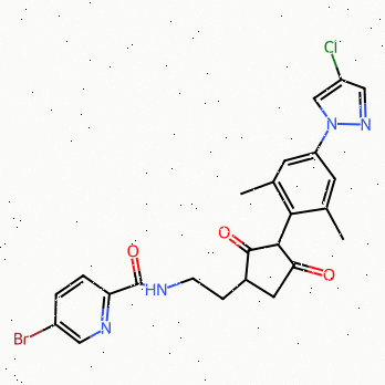 Cc1cc(-n2cc(Cl)cn2)cc(C)c1C1C(=O)CC(CCNC(=O)c2ccc(Br)cn2)C1=O